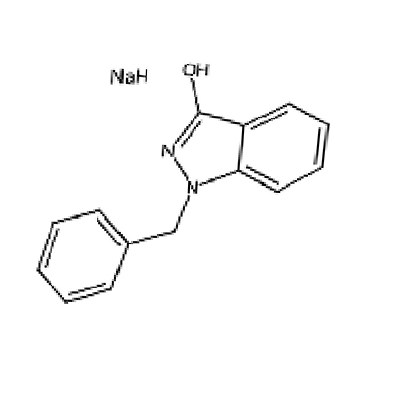 Oc1nn(Cc2ccccc2)c2ccccc12.[NaH]